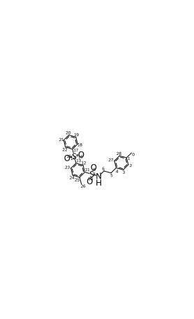 Cc1ccc(CCNS(=O)(=O)c2cc(S(=O)(=O)c3ccccc3)ccc2C)cc1